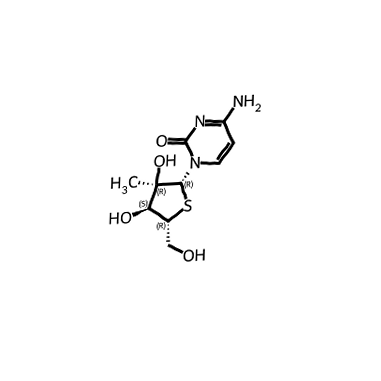 C[C@@]1(O)[C@H](O)[C@@H](CO)S[C@H]1n1ccc(N)nc1=O